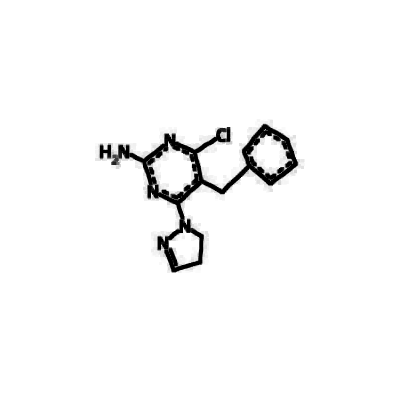 Nc1nc(Cl)c(Cc2ccccc2)c(N2CCC=N2)n1